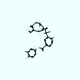 Cc1cc(NC(=O)c2ccc(F)c(C(F)(F)C(=O)N3[C@H]4CC[C@@H]3c3cn[nH]c3C4)c2)ccc1F